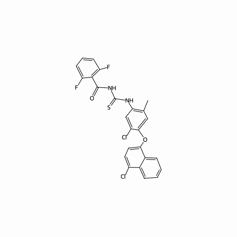 Cc1cc(Oc2ccc(Cl)c3ccccc23)c(Cl)cc1NC(=S)NC(=O)c1c(F)cccc1F